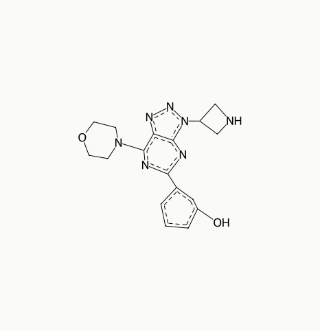 Oc1cccc(-c2nc(N3CCOCC3)c3nnn(C4CNC4)c3n2)c1